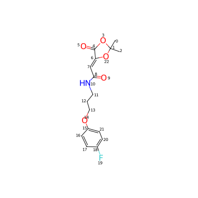 CC1(C)OC(=O)/C(=C/C(=O)NCCCOc2ccc(F)cc2)O1